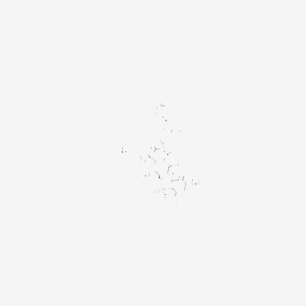 CCCCNCCNc1nc(OCC2(CN3CCOCC3C)CC2)nc2c(F)c(-c3nc(N)cc(C)c3C(F)(F)F)c(F)c(OC)c12